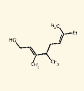 CCC(C)=CCC(C)/C(C)=C/CO